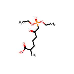 CCOP(=O)(CC(=O)CCCC(C)C(=O)O)OCC